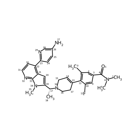 Cc1cc(C(=O)N(C)C)cc(F)c1C1=CCN([C@H](C)c2cc3c(-c4ccc(N)cn4)ccnc3n2C)CC1